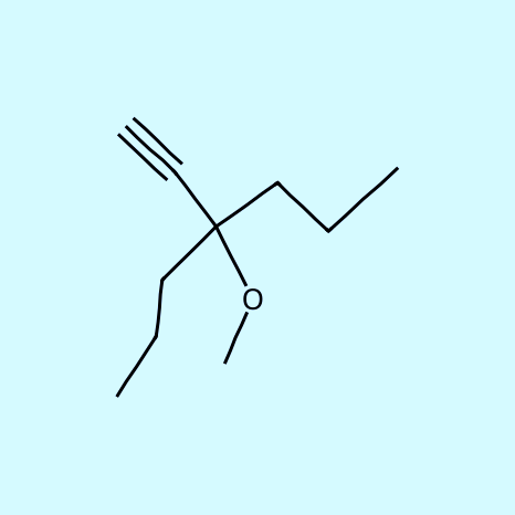 C#CC(CCC)(CCC)OC